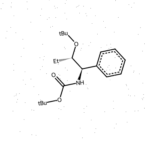 CC[C@H](OC(C)(C)C)[C@H](NC(=O)OC(C)(C)C)c1ccccc1